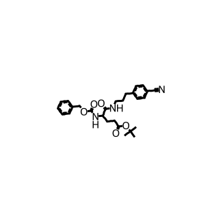 CC(C)(C)OC(=O)CCC(NC(=O)OCc1ccccc1)C(=O)NCCCc1ccc(C#N)cc1